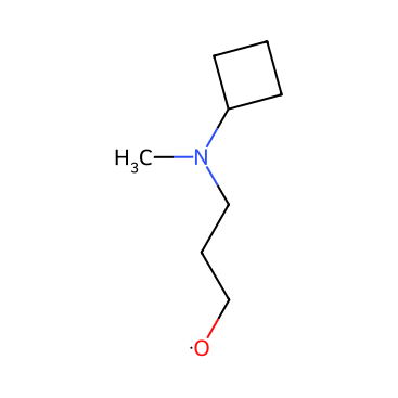 CN(CCC[O])C1CCC1